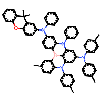 Cc1ccc(N(c2ccc(C)cc2)c2cc3c4c(c2)N(c2ccccc2)c2cc(N(c5ccccc5)c5ccc6c(c5)C(C)(C)c5ccccc5O6)ccc2B4c2cc(C)ccc2N3c2ccc(C)cc2)cc1